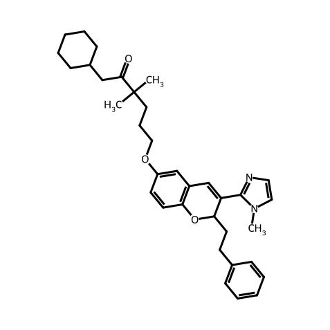 Cn1ccnc1C1=Cc2cc(OCCCC(C)(C)C(=O)CC3CCCCC3)ccc2OC1CCc1ccccc1